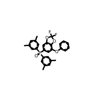 Cc1cc(C)cc(P(=O)(c2cc(C)cc(C)c2)c2cc(Oc3ccccc3)c3c(c2)OC(F)(F)O3)c1